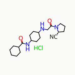 Cl.N#C[C@@H]1CCCN1C(=O)CNC1CCC(NC(=O)C2CCCCC2)CC1